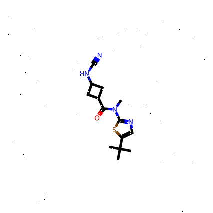 CN(C(=O)C1CC(NC#N)C1)c1ncc(C(C)(C)C)s1